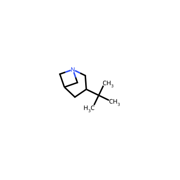 CC(C)(C)C1CC2CN(C2)C1